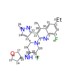 CCc1cc(F)c2nc(N3CC[C@H](N[C@@H]4CCOC4)[C@@H](F)C3)c(-c3ccn(C)n3)c(C)c2c1